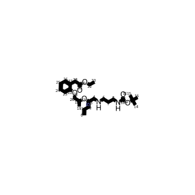 C=C/C=C(/CNCCCNC(=O)OC(C)(C)C)OC(C)COc1ccccc1CC(=O)OCC